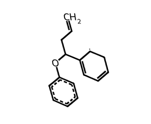 C=CCC(Oc1ccccc1)C1=CC=CC[CH]1